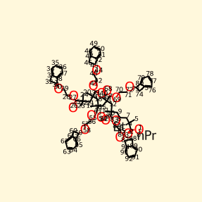 CCCOC(=O)C(C)(CC)CCCC(C)(CC(C)(CC(C)(CC(C)(CC(C)(C)C(=O)OCCOC1Cc2ccccc21)C(=O)OCCOC1Cc2ccccc21)C(=O)OCCOC1Cc2ccccc21)C(=O)OCCOC1Cc2ccccc21)C(=O)OCCOC1Cc2ccccc21